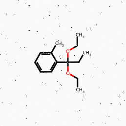 CCOC(CC)(OCC)c1ccccc1C